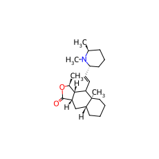 C[C@@H]1OC(=O)[C@H]2C[C@H]3CCCC[C@]3(C)C(/C=C/[C@H]3CCC[C@H](C)N3C)[C@@H]12